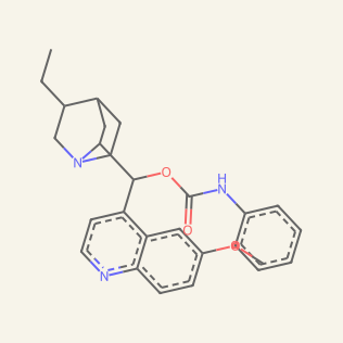 CCC1CN2CCC1CC2C(OC(=O)Nc1ccccc1)c1ccnc2ccc(OC)cc12